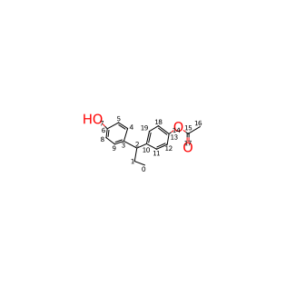 CCC(c1ccc(O)cc1)c1ccc(OC(C)=O)cc1